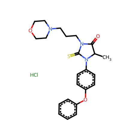 CC1C(=O)N(CCCN2CCOCC2)C(=S)N1c1ccc(Oc2ccccc2)cc1.Cl